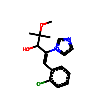 COC(C)(C)C(O)C(=Cc1ccccc1Cl)n1ccnc1